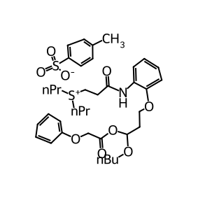 CCCCOC(CCOc1ccccc1NC(=O)CC[S+](CCC)CCC)OC(=O)COc1ccccc1.Cc1ccc(S(=O)(=O)[O-])cc1